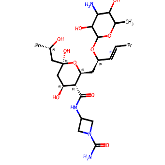 CC(C)/C=C/[C@@H](C[C@@H]1O[C@](O)(C[C@@H](O)C(C)C)C[C@H](O)[C@H]1C(=O)NC1CN(C(N)=O)C1)OC1OC(C)C(O)C(N)C1O